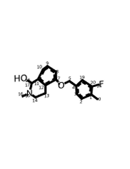 Cc1ccc(COc2cccc3c2CCN(C)C3O)cc1F